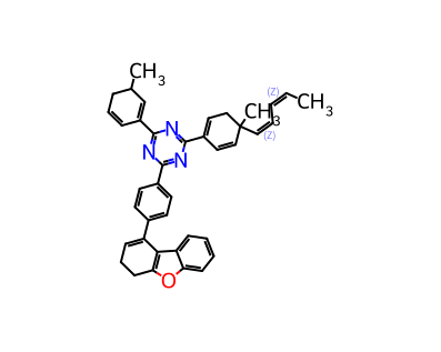 C/C=C\C=C/C1(C)C=CC(c2nc(C3=CC(C)CC=C3)nc(-c3ccc(C4=CCCc5oc6ccccc6c54)cc3)n2)=CC1